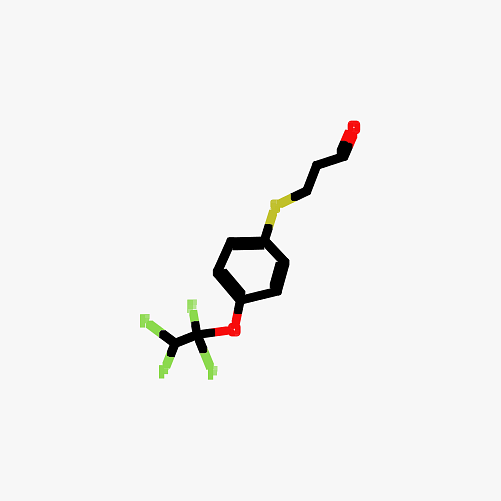 O=CCCSc1ccc(OC(F)(F)C(F)F)cc1